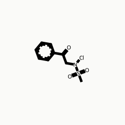 CS(=O)(=O)N(Cl)CC(=O)c1ccccc1